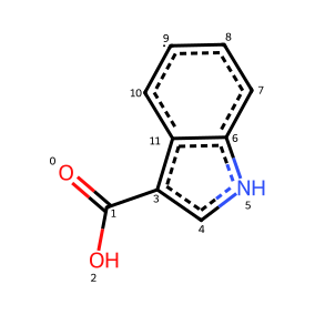 O=C(O)c1c[nH]c2cc[c]cc12